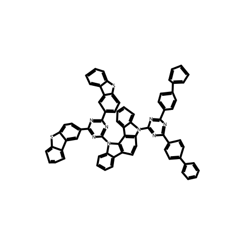 c1ccc(-c2ccc(-c3nc(-c4ccc(-c5ccccc5)cc4)nc(-n4c5ccccc5c5c4ccc4c6ccccc6n(-c6nc(-c7ccc8sc9ccccc9c8c7)nc(-c7ccc8sc9ccccc9c8c7)n6)c45)n3)cc2)cc1